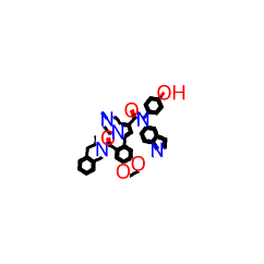 C[C@@H]1Cc2ccccc2CN1C(=O)c1cc2c(cc1-c1cc(C(=O)N(c3ccc(O)cc3)c3ccc4c(ccn4C)c3)c3n1CCN(C)C3)OCCO2